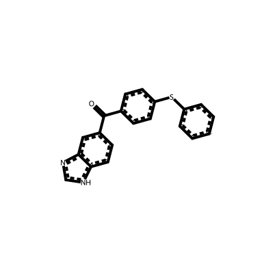 O=C(c1ccc(Sc2cc[c]cc2)cc1)c1ccc2[nH]cnc2c1